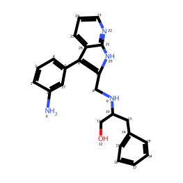 Nc1cccc(-c2c(CNC(CO)Cc3ccccc3)[nH]c3ncccc23)c1